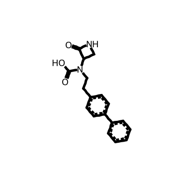 O=C1NCC1N(CCc1ccc(-c2ccccc2)cc1)C(=O)O